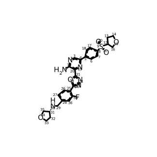 Nc1ncc(-c2ccc(S(=O)(=O)C3CCOC3)cc2)nc1-c1nnc(-c2ccc(CN[C@@H]3CCOC3)cc2F)o1